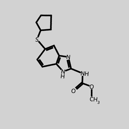 COC(=O)Nc1nc2cc(SC3CCCC3)ccc2[nH]1